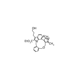 CCOC(=O)c1c(CCCO)c2ccc(F)c3c2n1Cc1ccccc1COCc1c-3c(C)nn1C